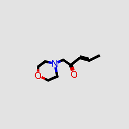 C/C=C/C(=O)CN1CCOCC1